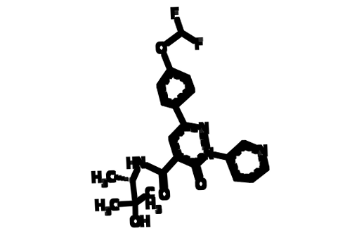 C[C@H](NC(=O)c1cc(-c2ccc(OC(F)F)cc2)nn(-c2cccnc2)c1=O)C(C)(C)O